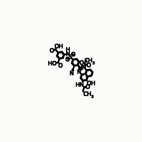 CCC(=O)Nc1cc(/N=N/c2ccc(S(=O)(=O)Nc3cc(C(=O)O)cc(C(=O)O)c3)cc2C#N)c2c(NS(C)(=O)=O)cccc2c1O